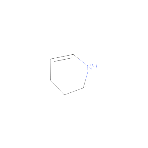 [C]1CCC=CN1